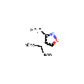 CCCCCCCCCCCCCCCCCCCCC.O=C(O)c1ccon1